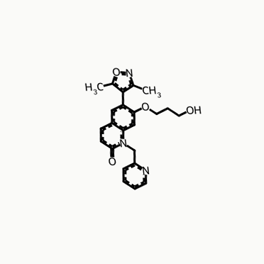 Cc1noc(C)c1-c1cc2ccc(=O)n(Cc3ccccn3)c2cc1OCCCO